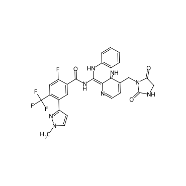 Cn1ccc(-c2cc(C(=O)N/C(Nc3ccccc3)=C3\N=CC=C(CN4C(=O)CNC4=O)C3=N)c(F)cc2C(F)(F)F)n1